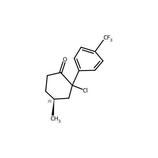 C[C@H]1CCC(=O)C(Cl)(c2ccc(C(F)(F)F)cc2)C1